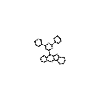 c1ccc(-c2nc(-c3ccccc3)nc(-c3c4ccccc4nc4c3sc3ccccc34)n2)cc1